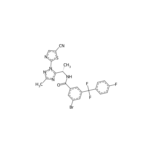 Cc1nc([C@H](C)NC(=O)c2cc(Br)cc(C(F)(F)c3ccc(F)cc3)c2)n(-c2ncc(C#N)s2)n1